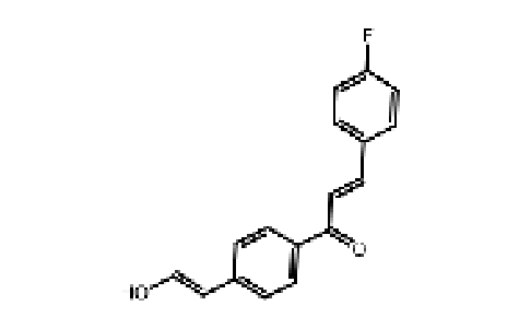 O=C(C=Cc1ccc(F)cc1)c1ccc(C=CO)cc1